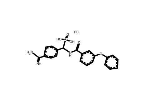 Cl.N=C(N)c1ccc(C(NC(=O)c2cccc(Oc3ccccc3)c2)P(=O)(O)O)cc1